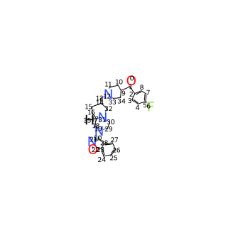 O=C(c1ccc(F)cc1)C1CCN(C[C@@H]2CC[C@H]3CN(c4noc5ccccc45)CCN3C2)CC1